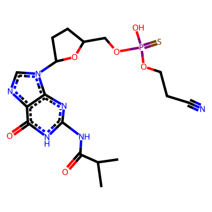 CC(C)C(=O)Nc1nc2c(ncn2C2CCC(COP(O)(=S)OCCC#N)O2)c(=O)[nH]1